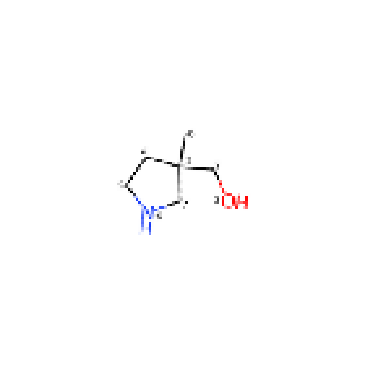 CC1(CO)CCNC1